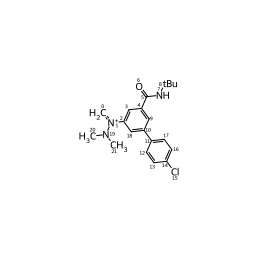 C=[N+](c1cc(C(=O)NC(C)(C)C)cc(-c2ccc(Cl)cc2)c1)N(C)C